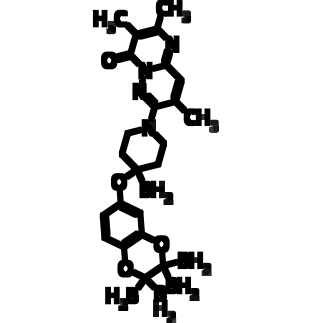 BC1(Oc2ccc3c(c2)OC(B)(B)C(B)(B)O3)CCN(c2nn3c(=O)c(C)c(C)nc3cc2C)CC1